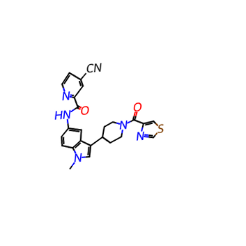 Cn1cc(C2CCN(C(=O)c3cscn3)CC2)c2cc(NC(=O)c3cc(C#N)ccn3)ccc21